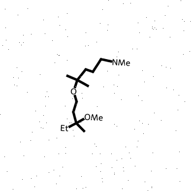 CCC(C)(CCOC(C)(C)CCCNC)OC